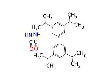 CC(C)c1cc(-c2cc(C(C)C)cc(C(C)C)c2)cc(C(C)C)c1.N=C=O.N=C=O